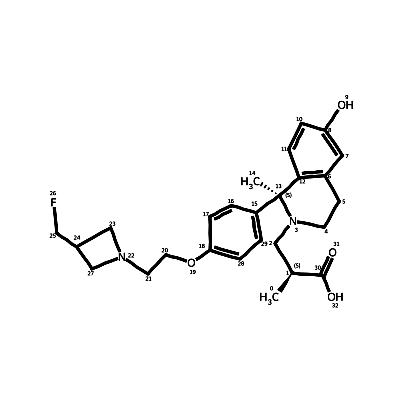 C[C@@H](CN1CCc2cc(O)ccc2[C@]1(C)c1ccc(OCCN2CC(CF)C2)cc1)C(=O)O